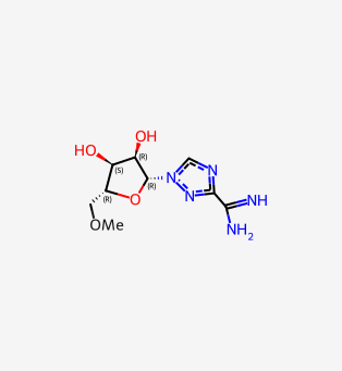 COC[C@H]1O[C@@H](n2cnc(C(=N)N)n2)[C@H](O)[C@@H]1O